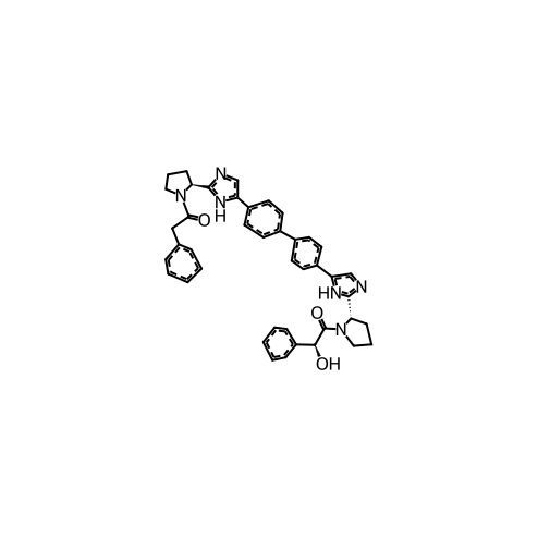 O=C(Cc1ccccc1)N1CCC[C@H]1c1ncc(-c2ccc(-c3ccc(-c4cnc([C@@H]5CCCN5C(=O)[C@@H](O)c5ccccc5)[nH]4)cc3)cc2)[nH]1